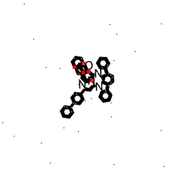 c1ccc(-c2ccc(-c3cc(-n4c5ccccc5c5ccc6c7ccccc7n(-c7cccc8c7oc7ccccc78)c6c54)nc(-c4ccccc4)n3)cc2)cc1